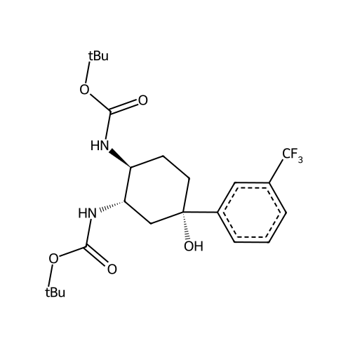 CC(C)(C)OC(=O)N[C@H]1CC[C@@](O)(c2cccc(C(F)(F)F)c2)C[C@@H]1NC(=O)OC(C)(C)C